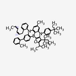 C/C=C\C=C/Cc1ccccc1N1c2cc(-c3ccccc3C)ccc2B2c3oc(C(C)C)c(C(C)(C)CC)c3N(c3ccc(C(C)(C)C)cc3)c3cc(C)cc1c32